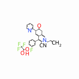 C=CCN1C=C2CC(=O)C(c3ccccn3)C=C2C(c2cccc(F)c2)=C1C#N.O=C(O)C(F)(F)F